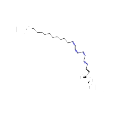 CCCCCCCCCCC\C=C/C=C\C=C/C=C/C=CC(=O)OCC